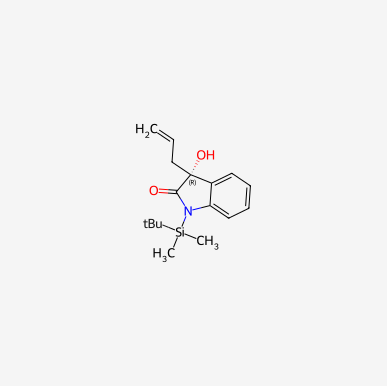 C=CC[C@]1(O)C(=O)N([Si](C)(C)C(C)(C)C)c2ccccc21